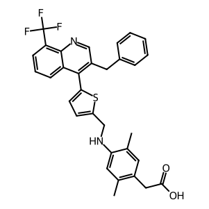 Cc1cc(NCc2ccc(-c3c(Cc4ccccc4)cnc4c(C(F)(F)F)cccc34)s2)c(C)cc1CC(=O)O